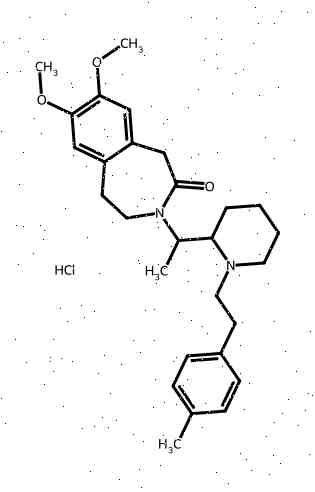 COc1cc2c(cc1OC)CC(=O)N(C(C)C1CCCCN1CCc1ccc(C)cc1)CC2.Cl